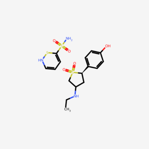 CCNC1C[C@H](c2ccc(O)cc2)S(=O)(=O)C1.NS(=O)(=O)C1=CC=CNS1